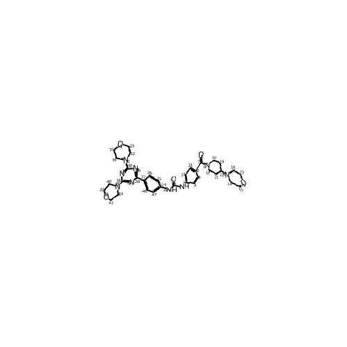 O=C(Nc1ccc(C(=O)N2CCC(N3CCOCC3)CC2)cc1)Nc1ccc(-c2nc(N3CCOCC3)nc(N3CCOCC3)n2)cc1